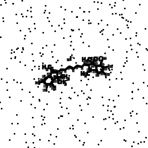 CN1C(=CC=CC=CC=CC2=[N+](C)c3cc(I)c(I)c(I)c3C2(C)C)C(C)(C)c2c1cc(I)c(I)c2I.[I-]